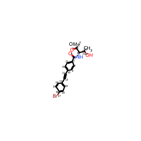 COC(=O)[C@@H](NC(=O)c1ccc(C#Cc2ccc(Br)cc2)cc1)[C@@H](C)O